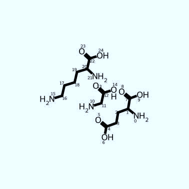 NC(CCC(=O)O)C(=O)O.NCC(=O)O.NCCCCC(N)C(=O)O